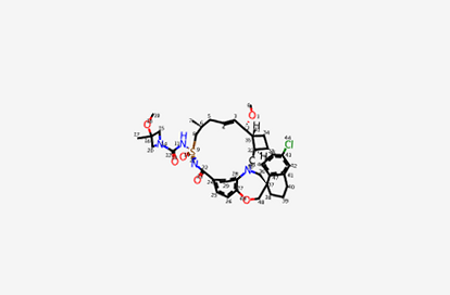 CO[C@H]1/C=C/C[C@H](C)C[S@@](=O)(NC(=O)N2CC(C)(OC)C2)=NC(=O)c2ccc3c(c2)N(C[C@@H]2CC[C@H]21)C[C@@]1(CCCc2cc(Cl)ccc21)CO3